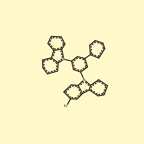 CCc1ccc2c(c1)c1ccccc1n2-c1cc(-c2ccccc2)cc(-n2c3ccccc3c3ccccc32)c1